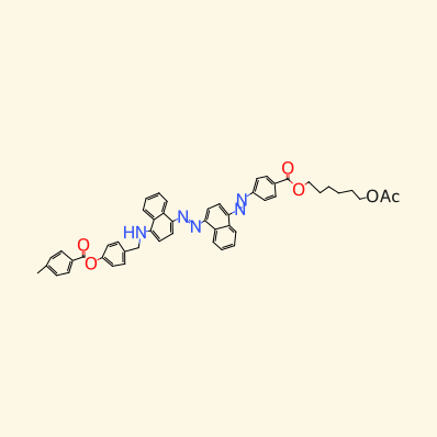 CC(=O)OCCCCCCOC(=O)c1ccc(/N=N/c2ccc(/N=N/c3ccc(NCc4ccc(OC(=O)c5ccc(C)cc5)cc4)c4ccccc34)c3ccccc23)cc1